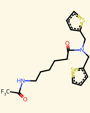 O=C([CH]CCCCNC(=O)C(F)(F)F)N(Cc1cccs1)Cc1cccs1